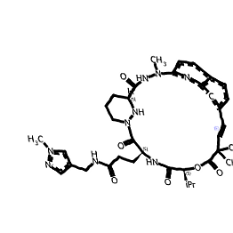 CC(C)[C@@H]1OC(=O)C(C)(C)/C=C/c2ccc3ccc(nc3c2)N(C)NC(=O)[C@@H]2CCCN(N2)C(=O)[C@H](CCC(=O)NCc2cnn(C)c2)NC1=O